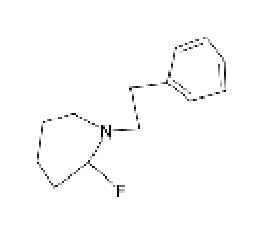 FC1CCCCN1CCc1ccccc1